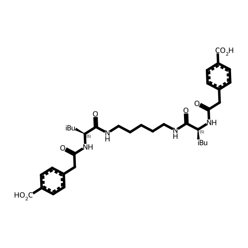 CCC(C)[C@H](NC(=O)Cc1ccc(C(=O)O)cc1)C(=O)NCCCCCNC(=O)[C@@H](NC(=O)Cc1ccc(C(=O)O)cc1)C(C)CC